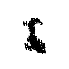 CC(C)(C)OC(=O)N1CCN(CCc2cc(F)c(C(=O)N[C@H]3C(C)(C)[C@H](Oc4ccc(C#N)c(Cl)c4)C3(C)C)c(F)c2)CC1